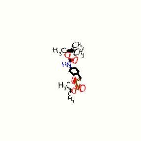 CC(C)OS(=O)(=O)CC1CCC(NC(=O)OC(C)(C)C)CC1